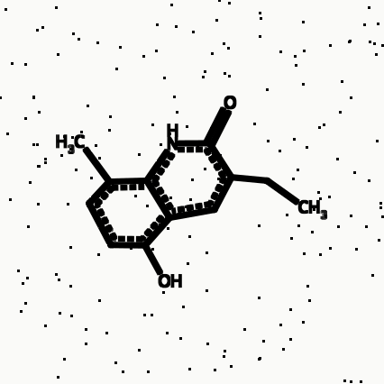 CCc1cc2c(O)ccc(C)c2[nH]c1=O